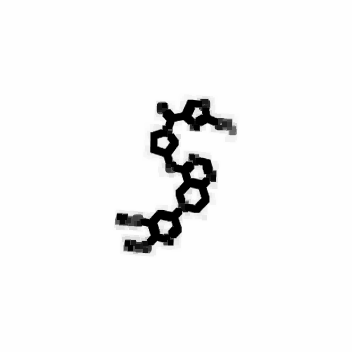 COc1cc(N2CCc3ncnc(OC4CCN(C(=O)c5coc(C)n5)C4)c3C2)cnc1OC